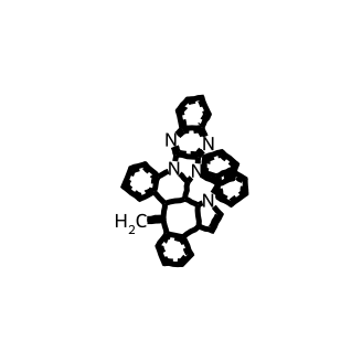 C=C1c2ccccc2C2C=CN(c3ccccc3)C2C2C1c1ccccc1N1c3nc4ccccc4nc3N(c3ccccc3)C21